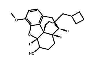 COc1ccc2c3c1O[C@H]1C(O)CC[C@H]4[C@@H](C2)N(CC2CCC2)CC[C@]314